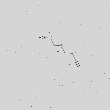 C#CCCSCCO